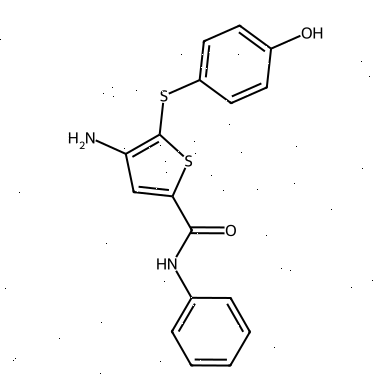 Nc1cc(C(=O)Nc2ccccc2)sc1Sc1ccc(O)cc1